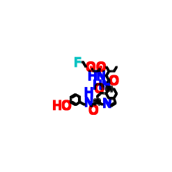 CCC(C)C(NC(=O)COCCF)C(=O)N[C@H]1CCc2ccn3c2C1C(=O)C[C@H](C(=O)NCc1cccc(O)c1)C3